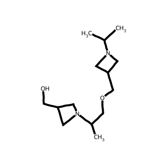 CC(C)N1CC(COCC(C)N2CC(CO)C2)C1